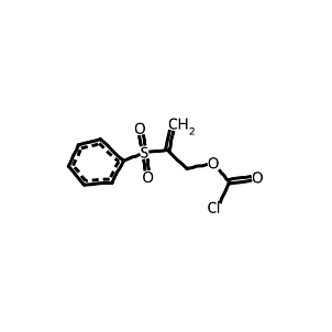 C=C(COC(=O)Cl)S(=O)(=O)c1ccccc1